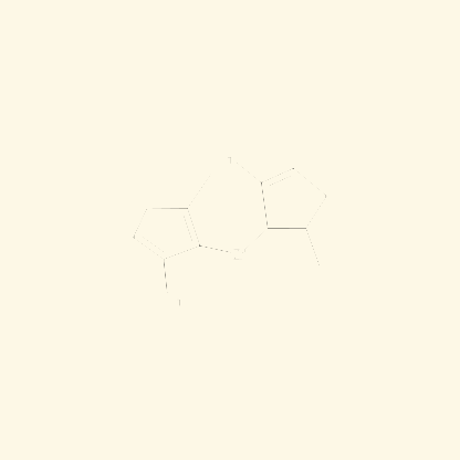 CC1=[C]([Zr][C]2=C(C)CC=C2C(C)C)C(C(C)C)=CC1